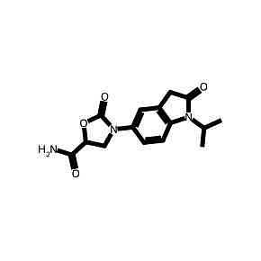 CC(C)N1C(=O)Cc2cc(N3CC(C(N)=O)OC3=O)ccc21